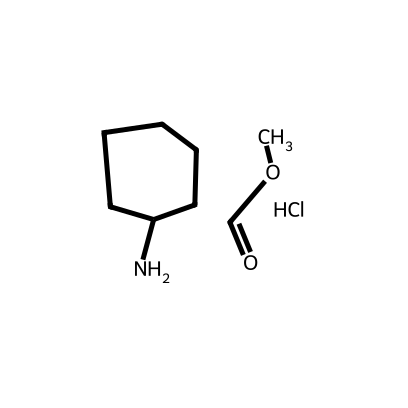 COC=O.Cl.NC1CCCCC1